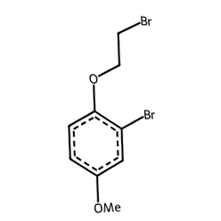 COc1ccc(OCCBr)c(Br)c1